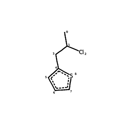 CC(Cl)Cc1cccs1